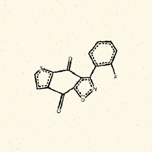 O=C1c2ccsc2C(=O)c2c(-c3ccccc3F)noc21